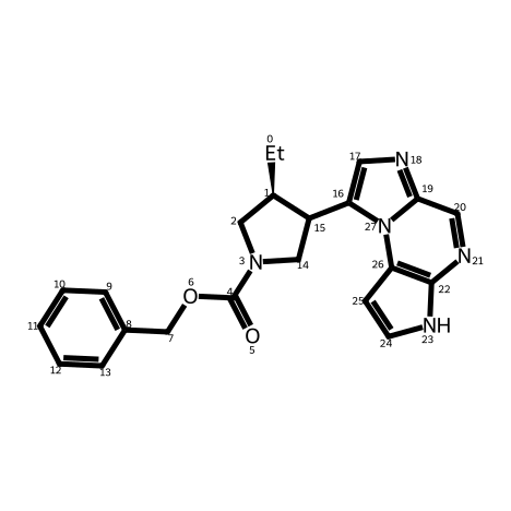 CC[C@@H]1CN(C(=O)OCc2ccccc2)CC1c1cnc2cnc3[nH]ccc3n12